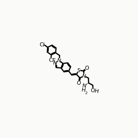 N[C@@H](CO)CN1C(=O)S/C(=C\c2ccc3c(cnn3Cc3ccc(Cl)cc3C(F)(F)F)c2)C1=O